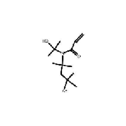 C=CC(=O)N(C(C)(C)O)C(C)(C)CC(C)(C)C(C)=O